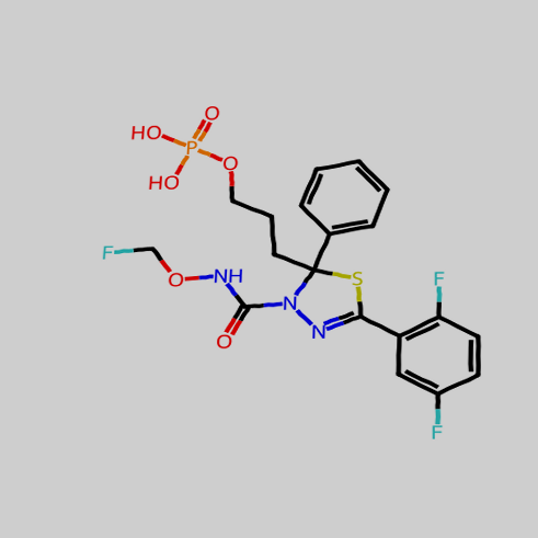 O=C(NOCF)N1N=C(c2cc(F)ccc2F)SC1(CCCOP(=O)(O)O)c1ccccc1